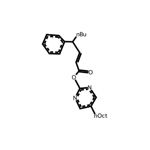 CCCCCCCCc1cnc(OC(=O)/C=C/C(CCCC)c2ccccc2)nc1